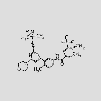 C=N/C(=C\C(=C/C)C(=O)Nc1ccc(C)c(-c2cc(C#CC(C)(C)N)nc(N3CCOCC3)c2)c1)C(F)(F)F